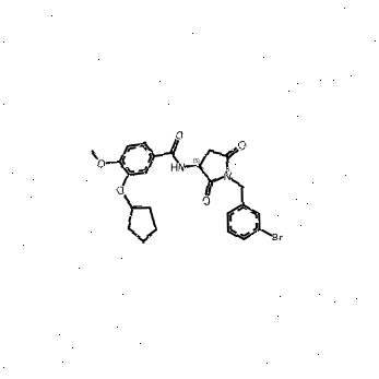 COc1ccc(C(=O)N[C@H]2CC(=O)N(Cc3cccc(Br)c3)C2=O)cc1OC1CCCC1